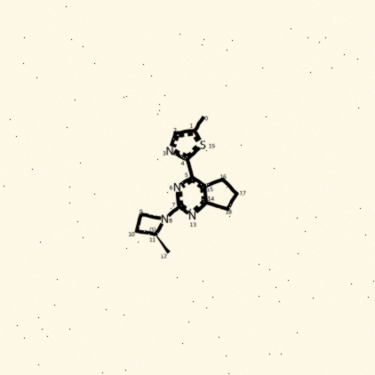 Cc1cnc(-c2nc(N3CC[C@@H]3C)nc3c2CCC3)s1